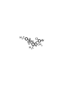 Cc1ccc(S(=O)(=O)NC(=O)c2cc(C)c3nc(C)n(Cc4ccc(Br)cc4Cl)c3n2)cc1